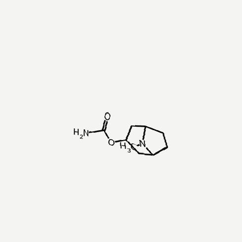 CN1C2CCC1CC(OC(N)=O)C2